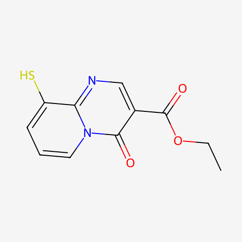 CCOC(=O)c1cnc2c(S)cccn2c1=O